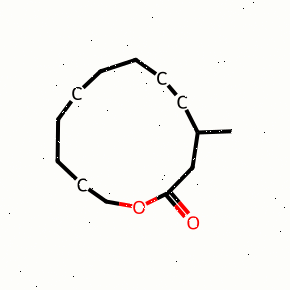 CC1CCCCCCCCCOC(=O)C1